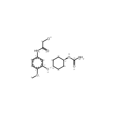 COc1ccc(NC(=O)CCl)cc1O[C@H]1CC[C@H](OC(N)=O)CC1